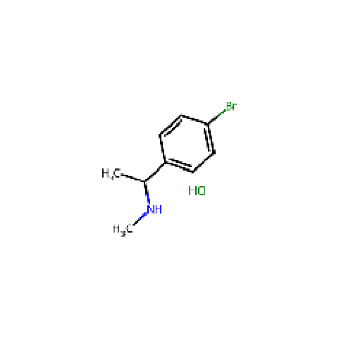 CNC(C)c1ccc(Br)cc1.Cl